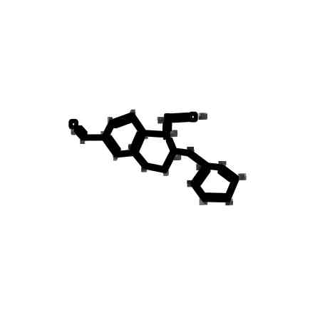 O=Cc1ccc2c(c1)CCC(Cc1ccccc1)S2=S=O